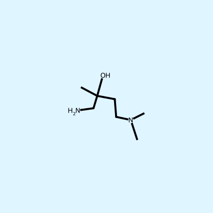 CN(C)CCC(C)(O)CN